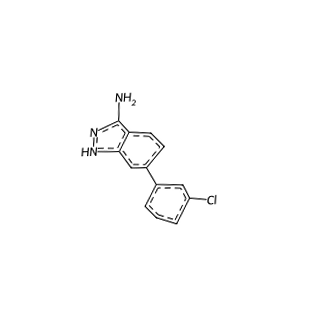 Nc1n[nH]c2cc(-c3cccc(Cl)c3)ccc12